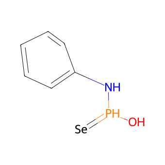 O[PH](=[Se])Nc1ccccc1